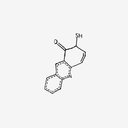 O=C1c2cc3ccccc3nc2C=CC1S